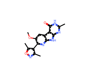 COc1cc2c(nc1-c1c(C)noc1C)[nH]c1nc(C)[nH]c(=O)c12